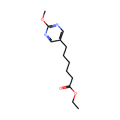 CCOC(=O)CCCCCc1cnc(OC)nc1